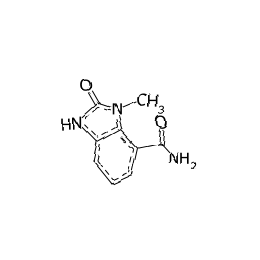 Cn1c(=O)[nH]c2cccc(C(N)=O)c21